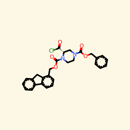 O=C(Cl)[C@@H]1CN(C(=O)OCc2ccccc2)CCN1C(=O)OCc1cccc2c1Cc1ccccc1-2